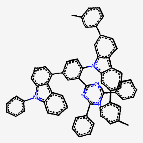 Cc1cccc(-c2ccc3c4ccc(-c5cccc(C)c5)cc4n(-c4ccc(-c5cccc6c5c5ccccc5n6-c5ccccc5)cc4-c4nc(-c5ccccc5)nc(-c5ccccc5)n4)c3c2)c1